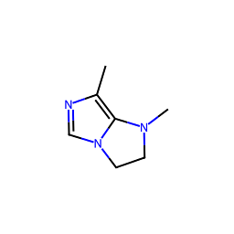 Cc1ncn2c1N(C)CC2